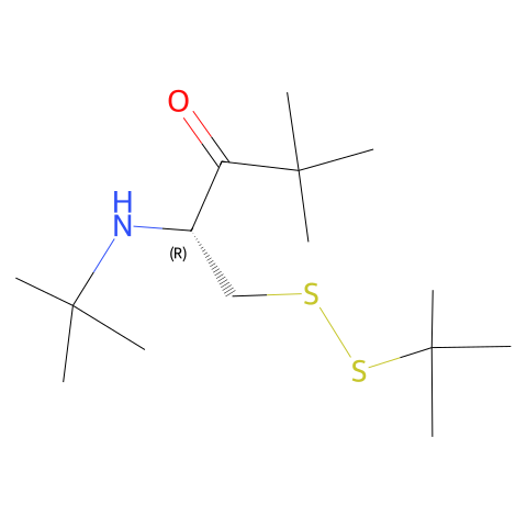 CC(C)(C)N[C@@H](CSSC(C)(C)C)C(=O)C(C)(C)C